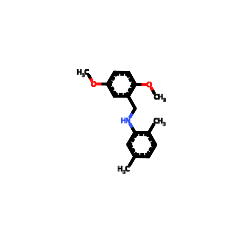 COc1ccc(OC)c(CNc2cc(C)ccc2C)c1